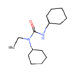 CC(C)(C)CN(C(=O)NC1CCCCC1)C1CCCCC1